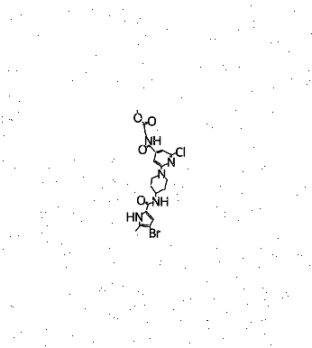 COC(=O)CNC(=O)c1cc(Cl)nc(N2CCC(NC(=O)c3cc(Br)c(C)[nH]3)CC2)c1